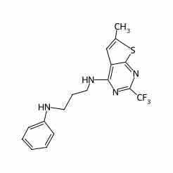 Cc1cc2c(NCCCNc3ccccc3)nc(C(F)(F)F)nc2s1